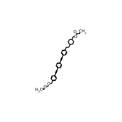 C=COCOCc1ccc(C#Cc2ccc(C#Cc3ccc(CCC4CCC(COC(=O)C=C)CC4)cc3)cc2)cc1